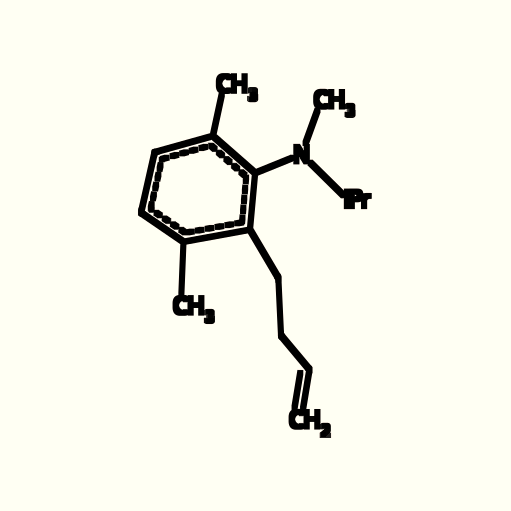 C=CCCc1c(C)ccc(C)c1N(C)C(C)C